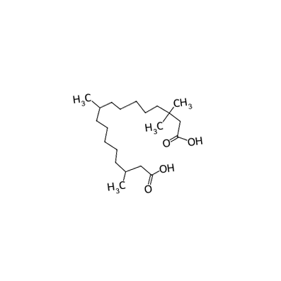 CC(CCCCCC(C)CC(=O)O)CCCCCC(C)(C)CC(=O)O